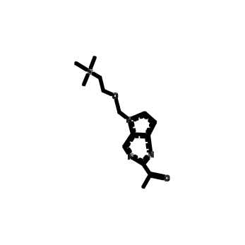 CC(=O)c1ncc2c(ccn2COCC[Si](C)(C)C)n1